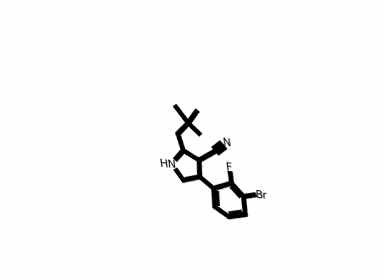 CC(C)(C)CC1NCC(c2cccc(Br)c2F)C1C#N